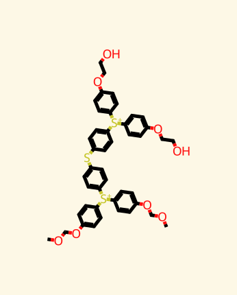 COCOc1ccc([S+](c2ccc(OCOC)cc2)c2ccc(Sc3ccc([S+](c4ccc(OCCO)cc4)c4ccc(OCCO)cc4)cc3)cc2)cc1